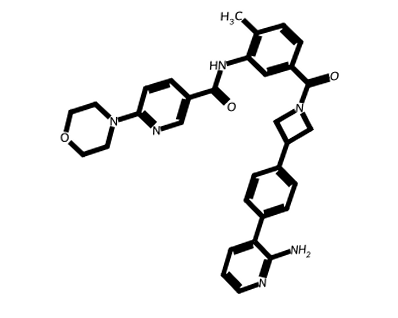 Cc1ccc(C(=O)N2CC(c3ccc(-c4cccnc4N)cc3)C2)cc1NC(=O)c1ccc(N2CCOCC2)nc1